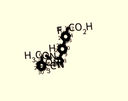 C[C@@H](OC(=O)Nc1c(-c2ccc(-c3ccc(CC(=O)O)c(F)c3)cc2)cnn1C)c1ccccc1